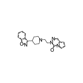 O=c1n(CCN2CCC(c3noc4ccccc34)CC2)ncc2cccn12